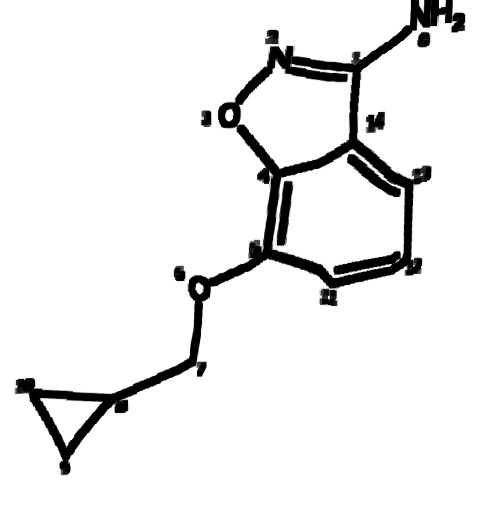 Nc1noc2c(OCC3CC3)cccc12